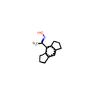 C/C(=N\O)c1c2c(cc3c1CCC3)CCC2